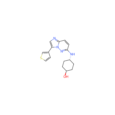 O[C@H]1CC[C@H](Nc2ccc3ncc(-c4ccsc4)n3n2)CC1